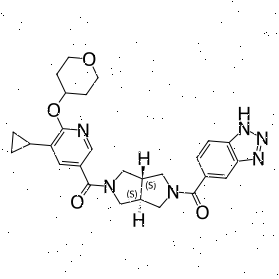 O=C(c1cnc(OC2CCOCC2)c(C2CC2)c1)N1C[C@@H]2CN(C(=O)c3ccc4[nH]nnc4c3)C[C@H]2C1